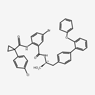 O=C(N[C@@H](Cc1ccc(-c2ccccc2Oc2ccccc2)cc1)C(=O)O)c1cc(Br)ccc1NC(=O)C1(c2ccc(Cl)cc2)CC1